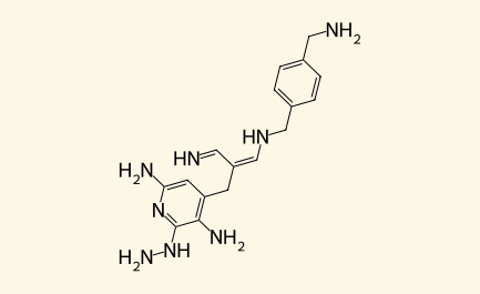 N=C/C(=C\NCc1ccc(CN)cc1)Cc1cc(N)nc(NN)c1N